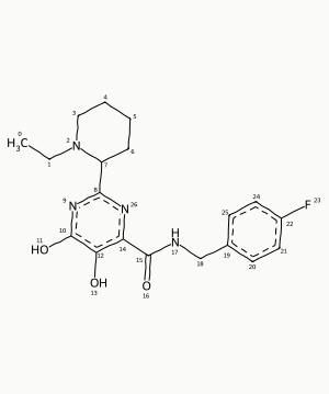 CCN1CCCCC1c1nc(O)c(O)c(C(=O)NCc2ccc(F)cc2)n1